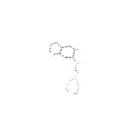 Clc1cc2cccnc2cc1NCCN1CCOCC1